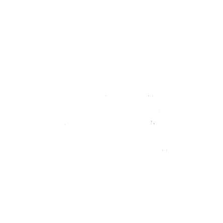 O=C1c2ccccc2C(=O)N1OCc1ccc2c(c1F)OC(c1ccccc1)(c1ccccc1)O2